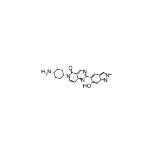 Cn1cc2cc(-c3ncc4c(=O)n([C@H]5CC[C@@H](N)CC5)ccc4n3)c(O)cc2n1